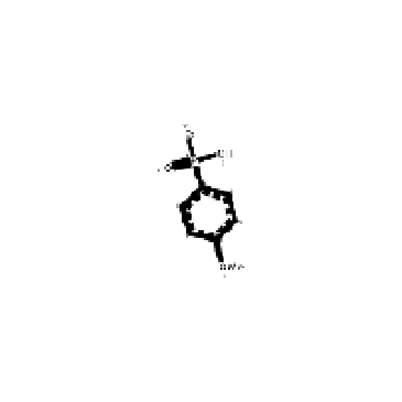 CCP(=O)(O)c1ccc(OC)cc1